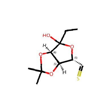 CCC1(O)O[C@H](C=S)[C@H]2OC(C)(C)O[C@H]21